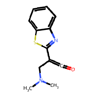 CN(C)CC(=C=O)c1nc2ccccc2s1